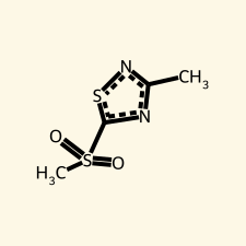 Cc1nsc(S(C)(=O)=O)n1